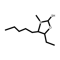 CCCCCC1C(CC)OC(S)N1C